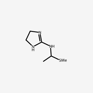 CSC(C)NC1=NCCN1